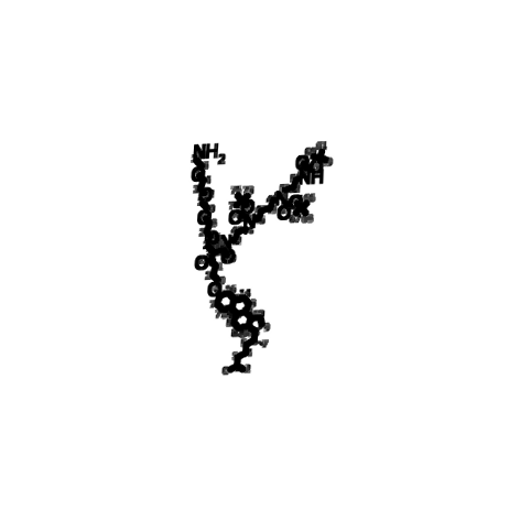 CC(C)CCC[C@@H](C)[C@H]1CCC2C3CC=C4C[C@@H](OCCCC(=O)C(COCCOCCOCCOCCN)C(=O)NCCCN(CCCCN(CCCNC(=O)OC(C)(C)C)C(=O)OC(C)(C)C)C(=O)OC(C)(C)C)CC[C@]4(C)C3CC[C@@]21C